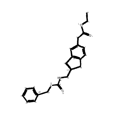 CCOC(=O)Cc1ccc2c(c1)CC(CNC(=O)OCc1ccccc1)C2